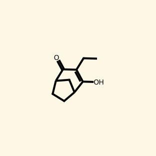 CCC1=C(O)C2CCC(C2)C1=O